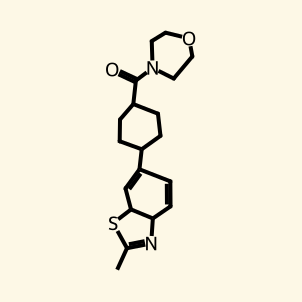 CC1=NC2C=CC(C3CCC(C(=O)N4CCOCC4)CC3)=CC2S1